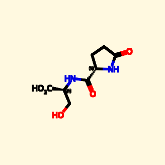 O=C1CC[C@@H](C(=O)N[C@@H](CO)C(=O)O)N1